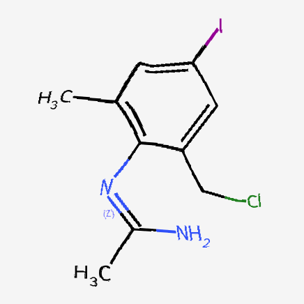 C/C(N)=N/c1c(C)cc(I)cc1CCl